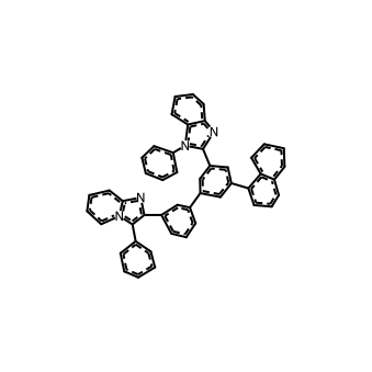 c1ccc(-c2c(-c3cccc(-c4cc(-c5cccc6ccccc56)cc(-c5nc6ccccc6n5-c5ccccc5)c4)c3)nc3ccccn23)cc1